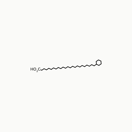 O=C(O)CCCCCCCCCCCCCCCCCCCCCCCC1CCCCC1